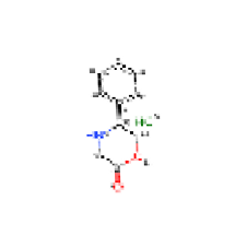 Cl.O=C1CN[C@@H](c2ccccc2)CO1